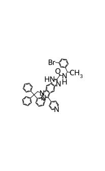 C[C@@H](NC(=O)c1nc2cc3c(-c4ccncc4)nn(CC(c4ccccc4)(c4ccccc4)c4ccccc4)c3cc2[nH]1)c1cccc(Br)c1